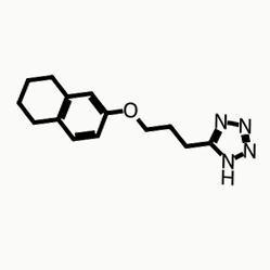 c1cc2c(cc1OCCCc1nnn[nH]1)CCCC2